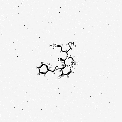 C=CCC(CC)N1CNn2ccc(=O)c(OCc3ccccc3)c2C1=O